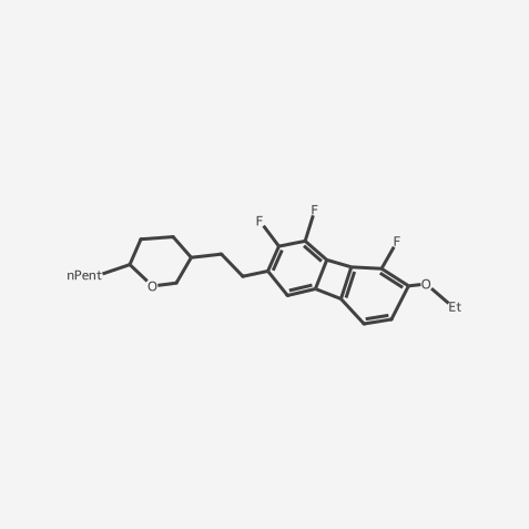 CCCCCC1CCC(CCc2cc3c(c(F)c2F)-c2c-3ccc(OCC)c2F)CO1